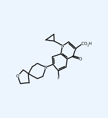 O=C(O)c1cn(C2CC2)c2cc(N3CCC4(CCOC4)CC3)c(F)cc2c1=O